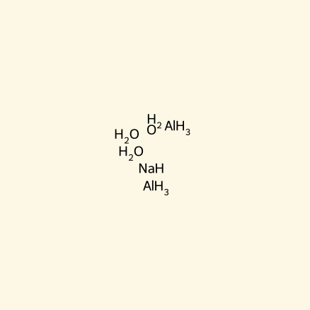 O.O.O.[AlH3].[AlH3].[NaH]